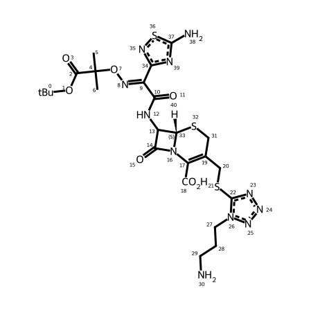 CC(C)(C)OC(=O)C(C)(C)ON=C(C(=O)NC1C(=O)N2C(C(=O)O)=C(CSc3nnnn3CCCN)CS[C@@H]12)c1nsc(N)n1